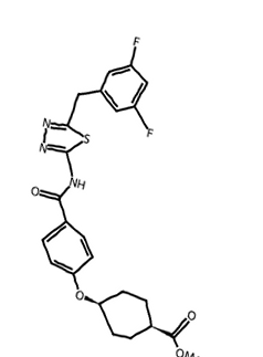 COC(=O)[C@H]1CC[C@@H](Oc2ccc(C(=O)Nc3nnc(Cc4cc(F)cc(F)c4)s3)cc2)CC1